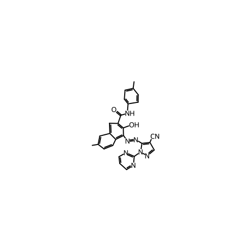 Cc1ccc(NC(=O)c2cc3cc(C)ccc3c(/N=N/c3c(C#N)cnn3-c3ncccn3)c2O)cc1